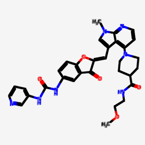 COCCNC(=O)C1CCN(c2ccnc3c2c(/C=C2\Oc4ccc(NC(=O)Nc5cccnc5)cc4C2=O)cn3C)CC1